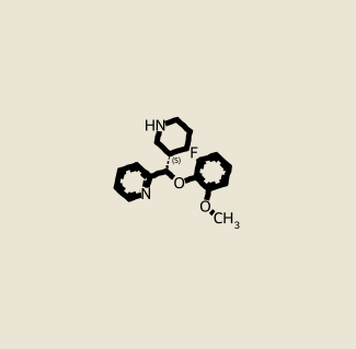 COc1cccc(F)c1OC(c1ccccn1)[C@H]1CCCNC1